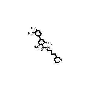 Cc1ccc(-c2cc(C)c(C(=O)NCCCCc3cccnc3)c(C)c2)cc1C